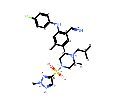 Cc1cc(Nc2ccc(F)cc2)c(C=N)cc1[C@@H]1CN(S(=O)(=O)c2cnn(C)n2)C[C@H](C)N1CC(C)C